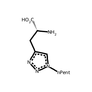 C[CH]CCCn1cc(C[C@@H](N)C(=O)O)nn1